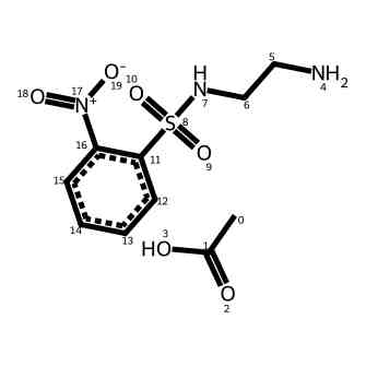 CC(=O)O.NCCNS(=O)(=O)c1ccccc1[N+](=O)[O-]